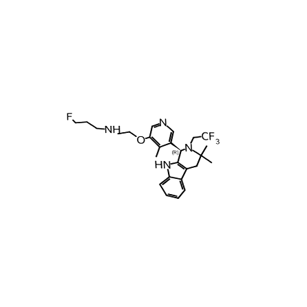 Cc1c(OCCNCCCF)cncc1[C@@H]1c2[nH]c3ccccc3c2CC(C)(C)N1CC(F)(F)F